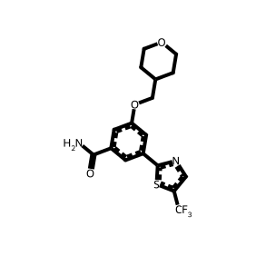 NC(=O)c1cc(OCC2CCOCC2)cc(-c2ncc(C(F)(F)F)s2)c1